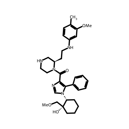 COC[C@]1(O)CCCC[C@H]1n1cnc(C(=O)N2CCNC[C@H]2CCNc2ccc(C)c(OC)c2)c1-c1ccccc1